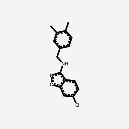 Cc1ccc(CNc2noc3cc(Cl)ccc23)cc1C